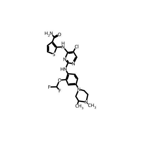 CC1CN(c2ccc(Nc3ncc(Cl)c(Nc4sccc4C(N)=O)n3)c(OC(F)F)c2)CCN1C